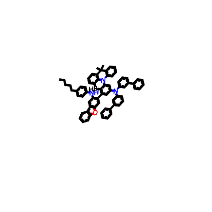 CCCCCc1ccc(Nc2cc3c(cc2-c2cc(N(c4cccc(-c5ccccc5)c4)c4cccc(-c5ccccc5)c4)cc4c2Bc2cccc5c2N4c2ccccc2C5(C)C)oc2ccccc23)cc1